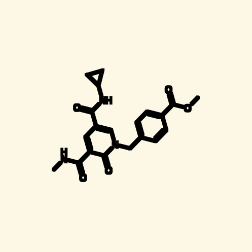 CNC(=O)c1cc(C(=O)NC2CC2)cn(Cc2ccc(C(=O)OC)cc2)c1=O